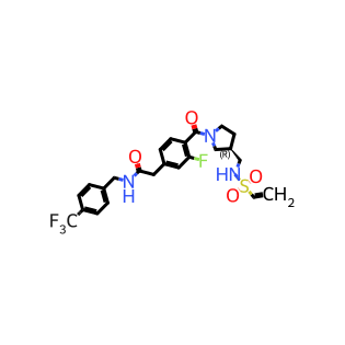 C=CS(=O)(=O)NC[C@@H]1CCN(C(=O)c2ccc(CC(=O)NCc3ccc(C(F)(F)F)cc3)cc2F)C1